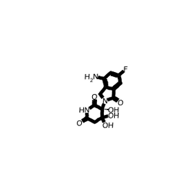 Nc1cc(F)cc2c1CN([C@]1(O)C(=O)NC(=O)CC1(O)O)C2=O